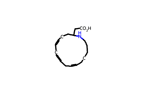 O=C(O)CC1CCC=CCC=CCC=CCCCCCN1